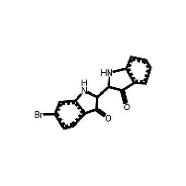 O=C1c2ccccc2NC1C1Nc2cc(Br)ccc2C1=O